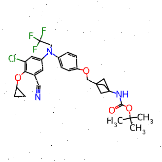 CC(C)(C)OC(=O)NC12CC(COc3ccc(N(CC(F)(F)F)c4cc(Cl)c(OC5CC5)c(C#N)c4)cc3)(C1)C2